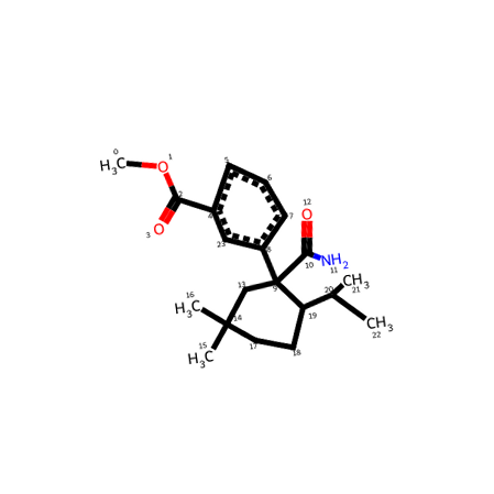 COC(=O)c1cccc(C2(C(N)=O)CC(C)(C)CCC2C(C)C)c1